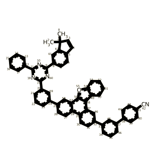 CC1(C)C=Cc2ccc(-c3nc(-c4ccccc4)nc(-c4cccc(-c5ccc6c7ccc(-c8cccc(-c9ccc(C#N)cc9)c8)cc7c7c8ccccc8oc7c6c5)c4)n3)cc21